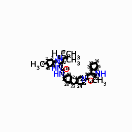 Cc1ccc(-n2nc(C(C)(C)C)cc2NC(=O)Nc2ccc(CC3CCN(C(=O)Cc4c(C)[nH]c5ccccc45)CC3)cc2)cc1